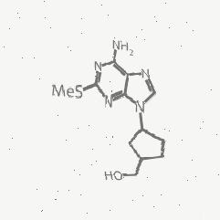 CSc1nc(N)c2ncn(C3CCC(CO)C3)c2n1